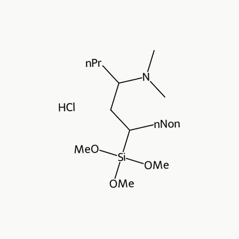 CCCCCCCCCC(CC(CCC)N(C)C)[Si](OC)(OC)OC.Cl